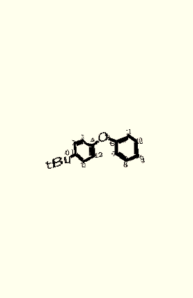 CC(C)(C)c1ccc(Oc2[c]cccc2)cc1